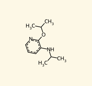 CC(C)Nc1cccnc1OC(C)C